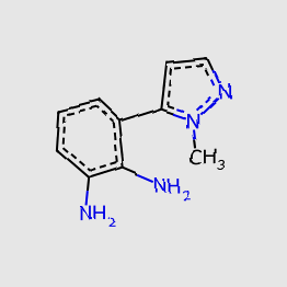 Cn1nccc1-c1cccc(N)c1N